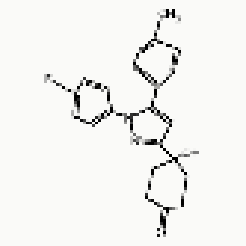 Cc1ccc(-c2cc(C3(O)CCC(=O)CC3)nn2-c2ccc(F)cc2)cc1